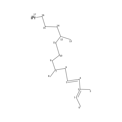 CC=C(C)C=CCC(C)CCCC(C)CCCC(C)C